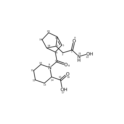 O=C(CC1C2=CC(C(=O)N3CCCCC3C(=O)O)C1CC2)NO